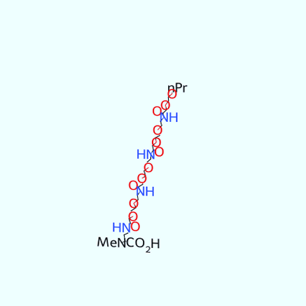 CCCOCCOCC(=O)NCCOCCOCC(=O)NCCOCCOCC(=O)NCCOCCOCC(=O)NCCC(NC)C(=O)O